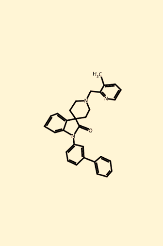 Cc1cccnc1CN1CCC2(CC1)C(=O)N(c1cccc(-c3ccccc3)c1)c1ccccc12